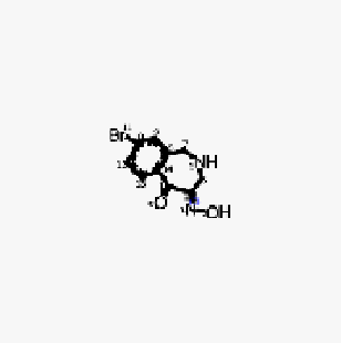 O=C1/C(=N/O)CNCc2cc(Br)ccc21